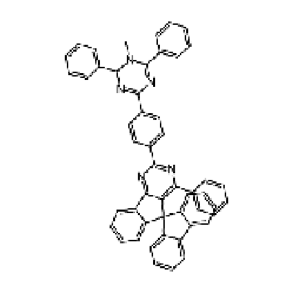 CN1C(c2ccccc2)=NC(c2ccc(-c3nc(-c4ccccc4)c4c(n3)-c3ccccc3C43c4ccccc4-c4ccccc43)cc2)=NC1c1ccccc1